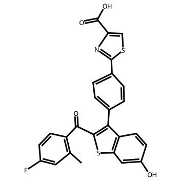 Cc1cc(F)ccc1C(=O)c1sc2cc(O)ccc2c1-c1ccc(-c2nc(C(=O)O)cs2)cc1